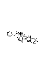 CC(Cc1ccccc1)Nc1ncnc2c1sc1nc3c(cc12)COC(C)(C)C3